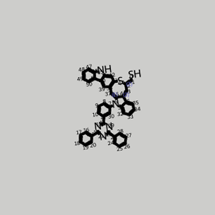 S/C=C1/C=c2\c(n(-c3cccc(-c4nc(-c5ccccc5)nc(-c5ccccc5)n4)c3)c3ccccc23)=C/c2cc3c(cc2S1)[nH]c1ccccc13